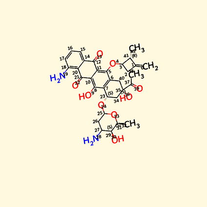 C=C1CC(Oc2c3c(c(O)c4c2C(=O)c2cccc(N)c2C4=O)[C@@H](OC2CC(N)[C@H](O)[C@H](C)O2)C[C@](O)(C(C)=O)C3)[C@@H]1C